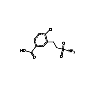 NS(=O)(=O)CCc1cc(C(=O)O)ccc1Cl